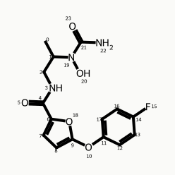 CC(CNC(=O)c1ccc(Oc2ccc(F)cc2)o1)N(O)C(N)=O